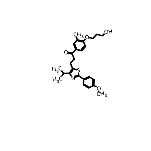 COc1ccc(-c2nc(C(C)C)c(CCC(=O)c3ccc(OCCCO)c(C)c3)s2)cc1